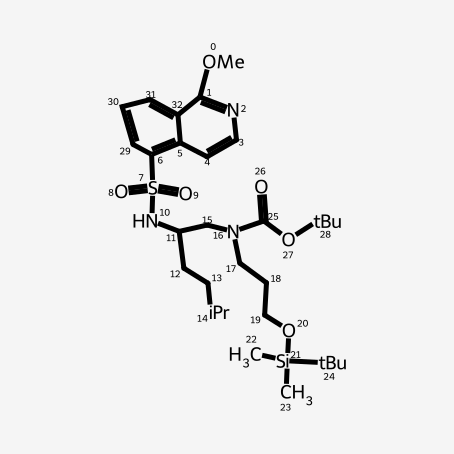 COc1nccc2c(S(=O)(=O)NC(CCC(C)C)CN(CCCO[Si](C)(C)C(C)(C)C)C(=O)OC(C)(C)C)cccc12